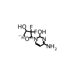 C[C@H]1O[C@@H](N2C=CC(N)=NC2O)C(F)(F)C1O